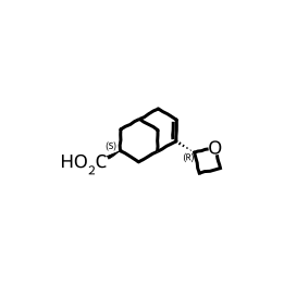 O=C(O)[C@H]1CC2CC=C([C@H]3CCO3)C(C2)C1